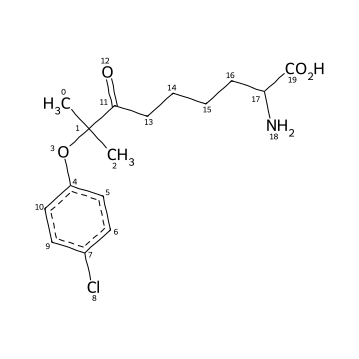 CC(C)(Oc1ccc(Cl)cc1)C(=O)CCCCC(N)C(=O)O